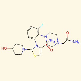 NC(=O)CN1CCN(c2c(F)cccc2N2C(C(N)=O)=CSC2N2CCC(O)CC2)CC1